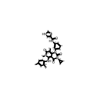 Cc1ccc(Nc2c3c(=O)n(C4CC4)c(=O)n(-c4cccc(NC(=O)c5c[nH]cn5)c4)c3c(C)c(=O)n2C)c(F)c1